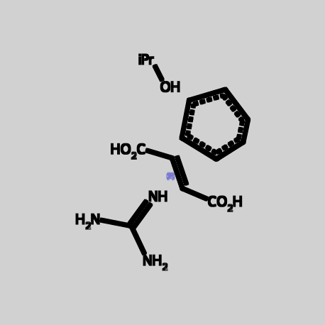 CC(C)O.N=C(N)N.O=C(O)/C=C/C(=O)O.c1ccccc1